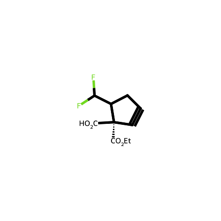 CCOC(=O)[C@@]1(C(=O)O)C#CCC1C(F)F